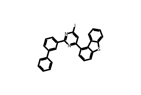 Ic1cc(-c2cccc3sc4ccccc4c23)nc(-c2cccc(-c3ccccc3)c2)n1